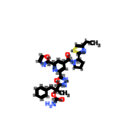 CCc1csc([C@H]2CCCN2C(=O)c2cc(-c3ncco3)nc(-c3nnc([C@@](C)(Cc4ccccc4)OC(N)=O)o3)c2)n1